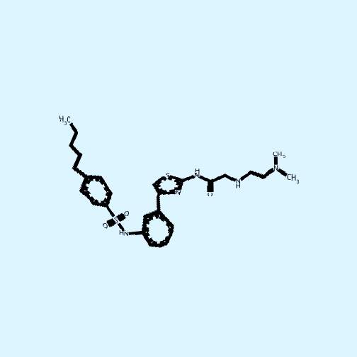 CCCCCc1ccc(S(=O)(=O)Nc2cccc(-c3csc(NC(=O)CNCCN(C)C)n3)c2)cc1